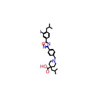 CC(C)Cc1ccc(-c2nc(-c3ccc(CN4CCC(CC(C)C)(C(=O)O)CC4)cc3)no2)cc1I